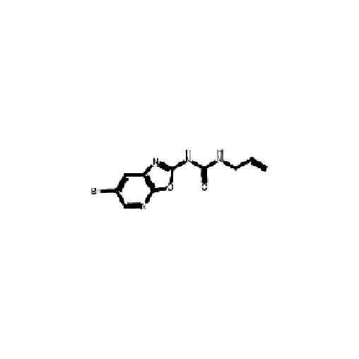 C=CCNC(=O)Nc1nc2cc(Br)cnc2o1